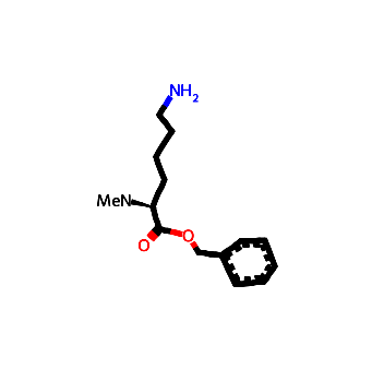 CN[C@@H](CCCCN)C(=O)OCc1ccccc1